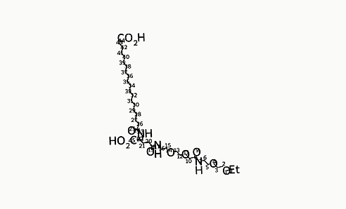 CCOCCOCCNC(=O)COCCOCCNC(=O)CC[C@H](NC(=O)CCCCCCCCCCCCCCCCCCC(=O)O)C(=O)O